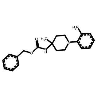 CC1(NC(=O)OCc2ccccc2)CCN(c2ccccc2N)CC1